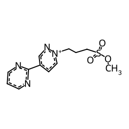 COS(=O)(=O)CCC[n+]1ccc(-c2ncccn2)cn1